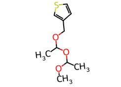 COC(C)OC(C)OCc1ccsc1